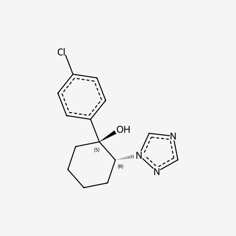 O[C@]1(c2ccc(Cl)cc2)CCCC[C@H]1n1cncn1